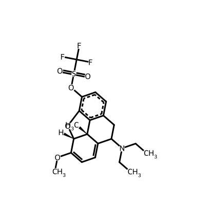 CCN(CC)C1Cc2ccc(OS(=O)(=O)C(F)(F)F)c3c2[C@]2(C)C1=CC=C(OC)[C@@H]2O3